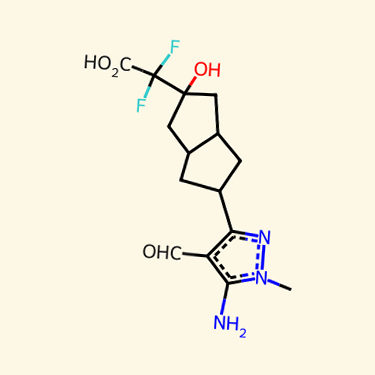 Cn1nc(C2CC3CC(O)(C(F)(F)C(=O)O)CC3C2)c(C=O)c1N